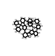 c1ccc(-c2ccc(-c3cccc4c3-c3ccc(-c5cccc6oc7c8ccccc8c(N(c8ccccc8)c8ccccc8)cc7c56)cc3C4(c3ccccc3)c3ccccc3)cc2)cc1